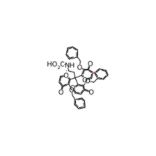 O=C(O)N[CH]CC(c1occc(=O)c1OCc1ccccc1)(c1occc(=O)c1OCc1ccccc1)c1occc(=O)c1OCc1ccccc1